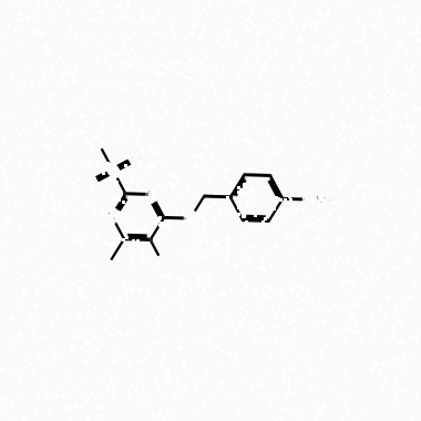 CCOC(=O)c1c(C)nc(S(C)(=O)=O)nc1OCc1ccc(OC)cc1